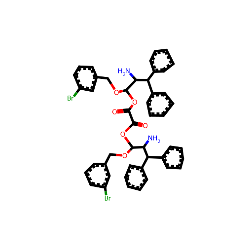 NC(C(OCc1cccc(Br)c1)OC(=O)C(=O)OC(OCc1cccc(Br)c1)C(N)C(c1ccccc1)c1ccccc1)C(c1ccccc1)c1ccccc1